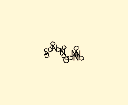 c1ccc(-c2nc(-c3ccccc3)nc(-c3ccc4oc5ccc(-n6c7ccccc7c7cc(-n8c9ccccc9c9cc%10sc%11ccccc%11c%10cc98)ccc76)cc5c4c3)n2)cc1